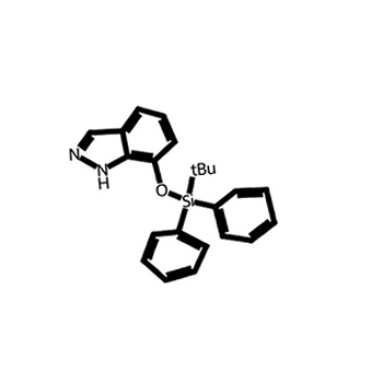 CC(C)(C)[Si](Oc1cccc2cn[nH]c12)(c1ccccc1)c1ccccc1